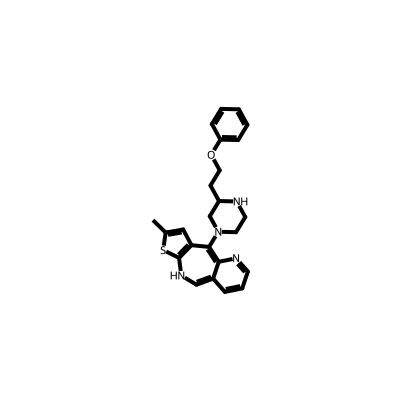 Cc1cc2c(s1)NC=c1cccnc1=C2N1CCNC(CCOc2ccccc2)C1